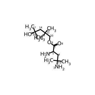 CC(C)(N)CC(N)C(=O)OCC(C)(C)CC(C)(C)O